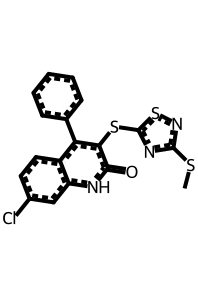 CSc1nsc(Sc2c(-c3ccccc3)c3ccc(Cl)cc3[nH]c2=O)n1